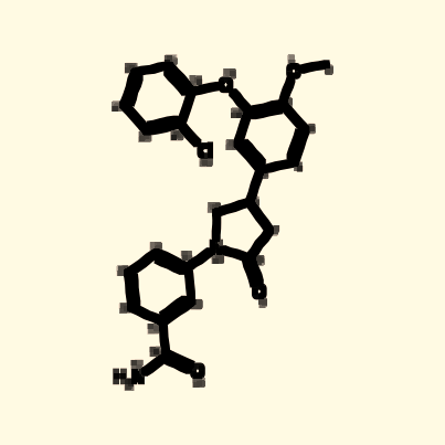 COc1ccc(C2CC(=O)N(c3cccc(C(N)=O)c3)C2)cc1Oc1ccccc1Cl